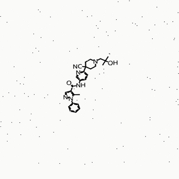 Cc1c(C(=O)Nc2ccc(C3(C#N)CCN(CC(C)(C)O)CC3)nc2)cnn1-c1ccccc1